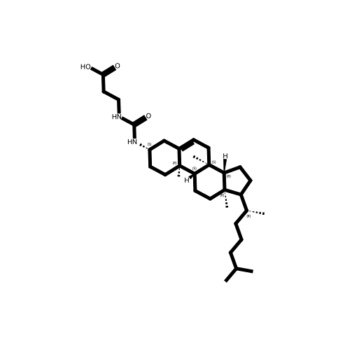 CC(C)CCC[C@@H](C)C1CC[C@H]2[C@]3(C)CC=C4C[C@@H](NC(=O)NCCC(=O)O)CC[C@]4(C)[C@H]3CC[C@]12C